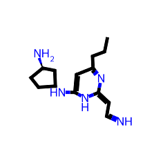 CCCC1=N/C(=C/C=N)NC(N[C@@H]2CC[C@@H](N)C2)=C1